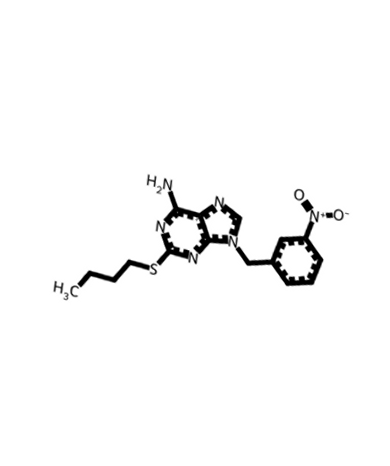 CCCCSc1nc(N)c2ncn(Cc3cccc([N+](=O)[O-])c3)c2n1